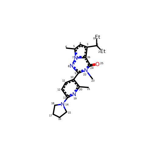 CCC(CC)c1cc(C)n2nc(-c3ccc(N4CCCC4)nc3C)n(C)c(=O)c12